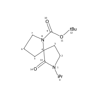 CC(C)N1CCC2(CCCN2C(=O)OC(C)(C)C)C1=O